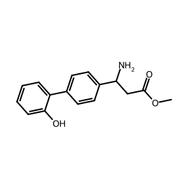 COC(=O)CC(N)c1ccc(-c2ccccc2O)cc1